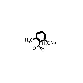 Cc1cccc(C)c1S(=O)[O-].[Na+]